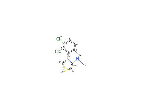 CN(Cc1ccc(Cl)c(Cl)c1)c1cs[c]n1